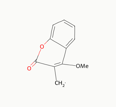 [CH2]c1c(OC)c2ccccc2oc1=O